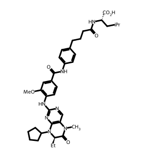 CC[C@@H]1C(=O)N(C)c2cnc(Nc3ccc(C(=O)Nc4ccc(CCCC(=O)N[C@@H](CC(C)C)C(=O)O)cc4)cc3OC)nc2N1C1CCCC1